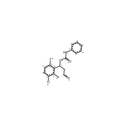 O=CCC(OC(=O)Nc1ccccc1)c1c(F)ccc(Cl)c1F